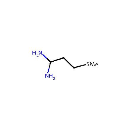 CSCCC(N)N